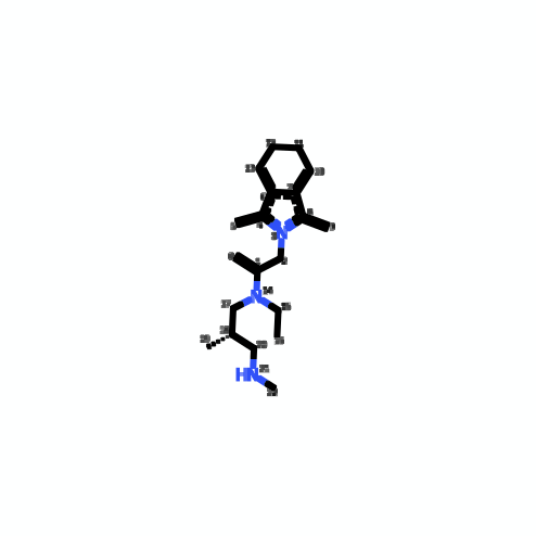 C=C(Cn1c(=C)c2c(c1=C)=CCCC=2)N(CC)C[C@@H](C)CNC